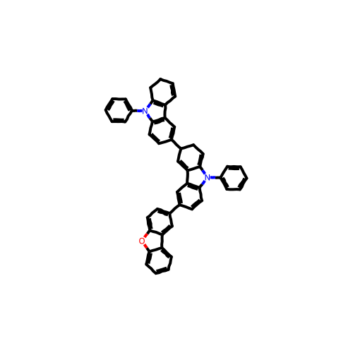 C1=Cc2c(n(-c3ccccc3)c3ccc(C4C=c5c(n(-c6ccccc6)c6ccc(-c7ccc8oc9ccccc9c8c7)cc56)=CC4)cc23)CC1